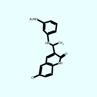 CC(=O)Nc1cccc(NC(C)c2cc3cc(Cl)ccc3[nH]c2=O)c1